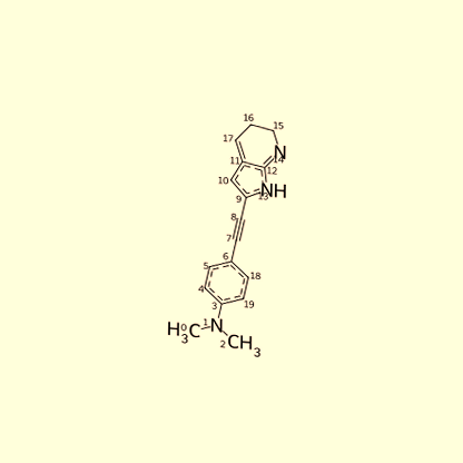 CN(C)c1ccc(C#Cc2cc3c([nH]2)=NCCC=3)cc1